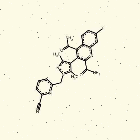 Cc1nn(Cc2cccc(C#N)n2)c(C)c1-c1c(C(N)=O)nc2cc(F)ccc2c1C(N)=O